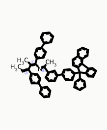 C\C=C(/C(C)=C(\N=C(/C)c1cccc(-c2ccc(C3(c4ccccc4)c4ccccc4-c4c3ccc3ccccc43)cc2)c1)c1ccc(-c2ccccc2)cc1)c1ccc(-c2ccccc2)cc1